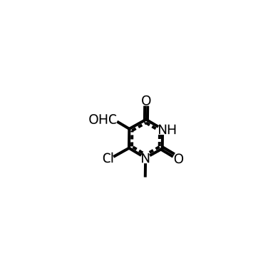 Cn1c(Cl)c(C=O)c(=O)[nH]c1=O